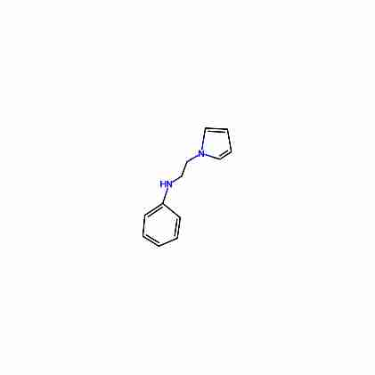 c1ccc(NCCn2cccc2)cc1